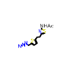 CC(=O)Nc1nc(CCc2ccc(CN=[N+]=[N-])s2)cs1